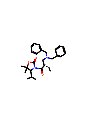 CC[C@@H](CN(Cc1ccccc1)Cc1ccccc1)C(=O)N1C(=O)OC(C)(C)C1C(C)C